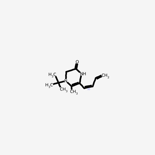 C=C/C=C\C1=C(C)N(C(C)(C)C)CC(=O)N1